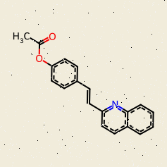 CC(=O)Oc1ccc(C=Cc2ccc3ccccc3n2)cc1